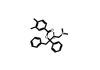 Cc1ccc(C(=O)OC(Cc2ccccc2)(c2ccccc2)[C@@H](C)CN(C)C)cc1C